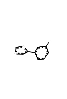 Brc1cccc(-c2cnc[nH]2)c1